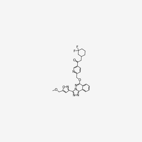 COCc1cc(-c2nnc3c4ccccc4c(OCc4ccc(C(=O)CC5CCCC(F)(F)C5)cn4)nn23)no1